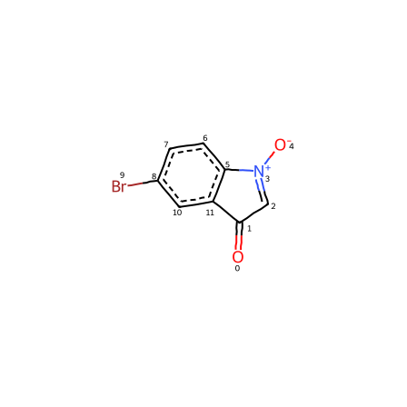 O=C1C=[N+]([O-])c2ccc(Br)cc21